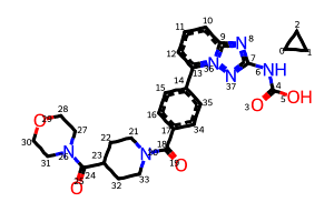 C1CC1.O=C(O)Nc1nc2cccc(-c3ccc(C(=O)N4CCC(C(=O)N5CCOCC5)CC4)cc3)n2n1